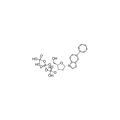 O=P(O)(O)OP(=O)(O)OP(=O)(O)O[C@H]1C[C@@H](n2ccc3cc(-c4ccccc4)ccc32)O[C@@H]1CO